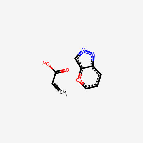 C=CC(=O)O.c1coc2cnnc-2c1